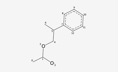 CC([O])OCC(C)c1ccccc1